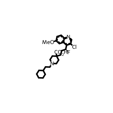 COc1ccc2ncc(Cl)c([C@@H](F)CCC3(C(=O)O)CCN(CCC4CCCCC4)CC3)c2c1